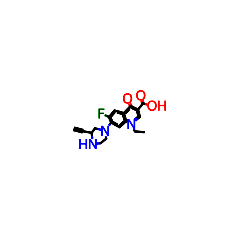 C#CC1CN(c2cc3c(cc2F)c(=O)c(C(=O)O)cn3CC)CCN1